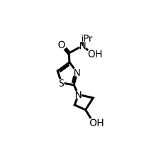 CC(C)N(O)C(=O)c1csc(N2CC(O)C2)n1